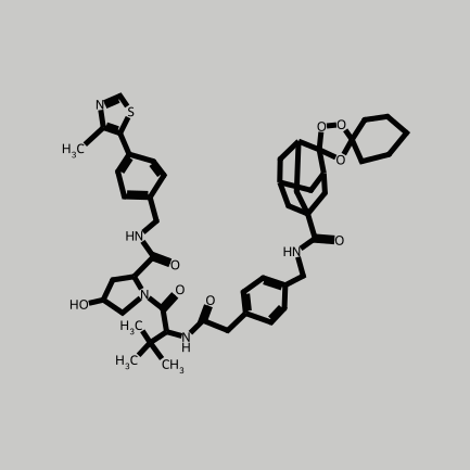 Cc1ncsc1-c1ccc(CNC(=O)C2CC(O)CN2C(=O)C(NC(=O)Cc2ccc(CNC(=O)C34CC5CC(C3)C3(OOC6(CCCCC6)O3)C(C5)C4)cc2)C(C)(C)C)cc1